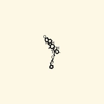 CC1=C2C[C@H]3[C@@H](CCC4=CC(=O)CC[C@@]43C)[C@@H]2CCC2(C1)O[C@@H]1C[C@H](C)CN(CCOCCOCc3ccccc3)[C@H]1[C@H]2C